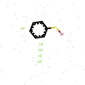 BrSc1ccccc1.F.F.F.F.F